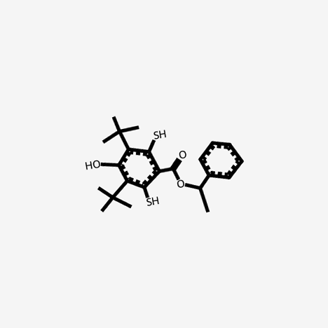 CC(OC(=O)c1c(S)c(C(C)(C)C)c(O)c(C(C)(C)C)c1S)c1ccccc1